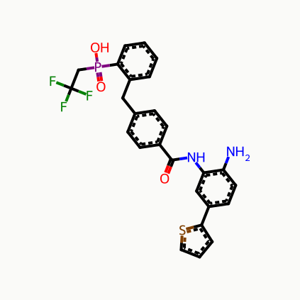 Nc1ccc(-c2cccs2)cc1NC(=O)c1ccc(Cc2ccccc2P(=O)(O)CC(F)(F)F)cc1